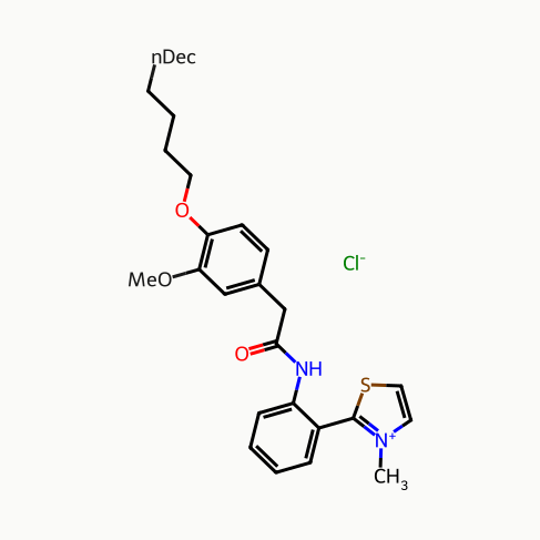 CCCCCCCCCCCCCCOc1ccc(CC(=O)Nc2ccccc2-c2scc[n+]2C)cc1OC.[Cl-]